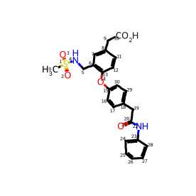 CS(=O)(=O)NCc1cc(CC(=O)O)ccc1Oc1ccc(CC(=O)Nc2ccccc2)cc1